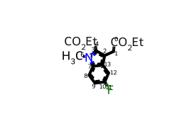 CCOC(=O)Cc1c(C(=O)OCC)n(C)c2ccc(F)cc12